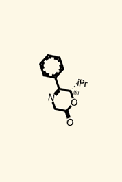 CC(C)[C@@H]1OC(=O)CN=C1c1ccccc1